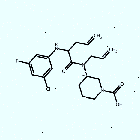 C=CCC(Nc1cc(F)cc(Cl)c1)C(=O)N(CC=C)[C@@H]1CCCN(C(=O)O)C1